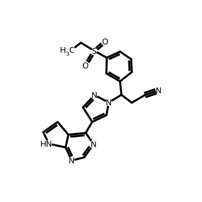 CCS(=O)(=O)c1cccc(C(CC#N)n2cc(-c3ncnc4[nH]ccc34)cn2)c1